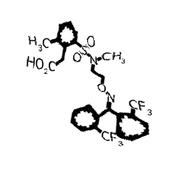 Cc1cccc(S(=O)(=O)N(C)CCON=C(c2ccccc2C(F)(F)F)c2ccccc2C(F)(F)F)c1CC(=O)O